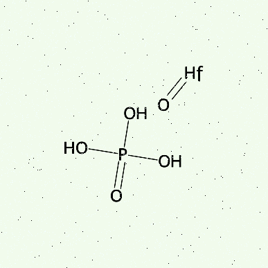 O=P(O)(O)O.[O]=[Hf]